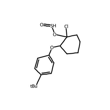 CC(C)(C)c1ccc(OC2CCCCC2(Cl)O[SH]=O)cc1